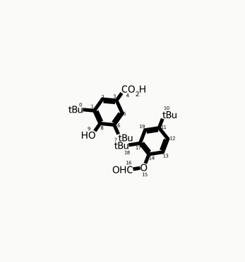 CC(C)(C)c1cc(C(=O)O)cc(C(C)(C)C)c1O.CC(C)(C)c1ccc(OC=O)c(C(C)(C)C)c1